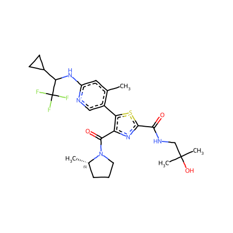 Cc1cc(NC(C2CC2)C(F)(F)F)ncc1-c1sc(C(=O)NCC(C)(C)O)nc1C(=O)N1CCC[C@@H]1C